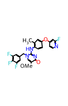 COc1cn(Cc2cc(F)c(F)c(F)c2)c(Nc2ccc(Oc3ccnc(F)c3)cc2C)nc1=O